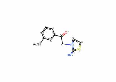 CC(=O)Nc1cccc(C(=O)Cn2ccsc2=N)c1